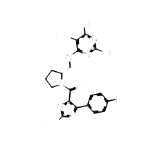 Cc1nc(C(=O)N2CCC[C@H]2CNc2nc(C(F)(F)F)nc(C)c2C)c(-c2ccc(F)cc2)s1